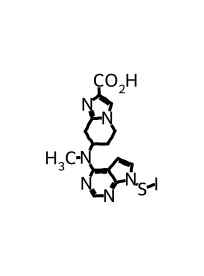 CN(c1ncnc2c1ccn2SI)C1CCn2cc(C(=O)O)nc2C1